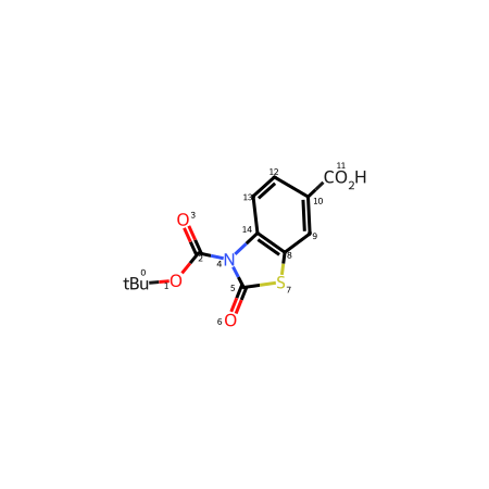 CC(C)(C)OC(=O)n1c(=O)sc2cc(C(=O)O)ccc21